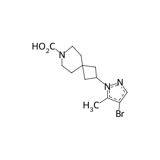 Cc1c(Br)cnn1C1CC2(CCN(C(=O)O)CC2)C1